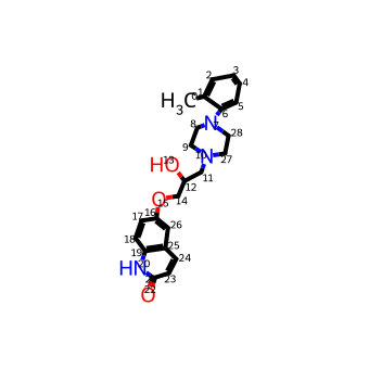 Cc1ccccc1N1CCN(CC(O)COc2ccc3[nH]c(=O)ccc3c2)CC1